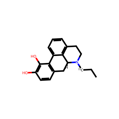 CC[11CH2]N1CCc2cccc3c2[C@@H]1Cc1ccc(O)c(O)c1-3